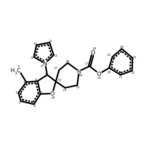 Cc1cccc2c1C(n1cccc1)C1(CCN(C(=O)Oc3ccccc3)CC1)O2